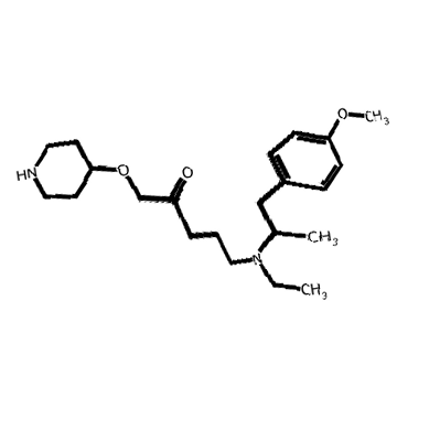 CCN(CCCC(=O)COC1CCNCC1)C(C)Cc1ccc(OC)cc1